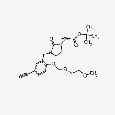 COCCOCOc1ccc(C#N)cc1CN1CCC(NC(=O)OC(C)(C)C)C1=O